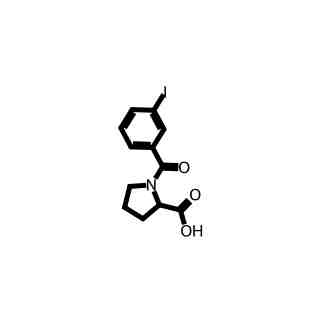 O=C(O)C1CCCN1C(=O)c1cccc(I)c1